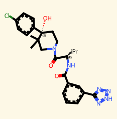 CC(C)[C@@H](NC(=O)c1cccc(-c2nn[nH]n2)c1)C(=O)N1CC[C@](O)(c2ccc(Cl)cc2)C(C)(C)C1